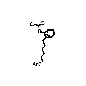 CCC(=O)OC1C2C=CC(C2)C1CCCCCCOC(C)=O